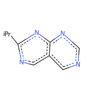 CC(C)c1ncc2cncnc2n1